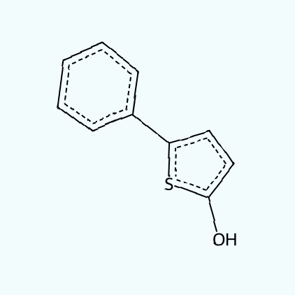 Oc1ccc(-c2ccccc2)s1